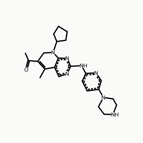 CC(=O)C1=C(C)c2cnc(Nc3ccc(N4CCNCC4)cn3)nc2N(C2CCCC2)C1